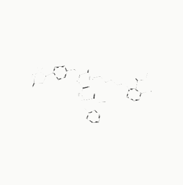 COC(=O)c1c(O)cccc1OCCCCNC(=O)[C@H](Cc1ccc(C2CC(=O)NS2(O)O)cc1)NC(=O)N[C@@H](Cc1ccccc1)C(=O)OC